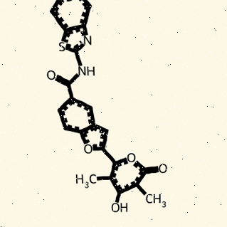 Cc1c(-c2cc3cc(C(=O)Nc4nc5ccccc5s4)ccc3o2)oc(=O)c(C)c1O